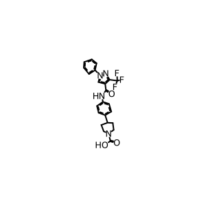 O=C(Nc1ccc(C2CCN(C(=O)O)CC2)cc1)c1cn(-c2ccccc2)nc1C(F)(F)F